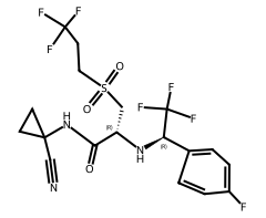 N#CC1(NC(=O)[C@H](CS(=O)(=O)CCC(F)(F)F)N[C@H](c2ccc(F)cc2)C(F)(F)F)CC1